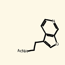 CC(=O)NCCc1coc2cnccc12